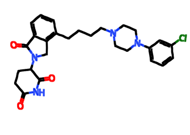 O=C1CCC(N2Cc3c(CCCCN4CCN(c5cccc(Cl)c5)CC4)cccc3C2=O)C(=O)N1